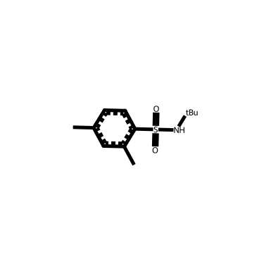 Cc1ccc(S(=O)(=O)NC(C)(C)C)c(C)c1